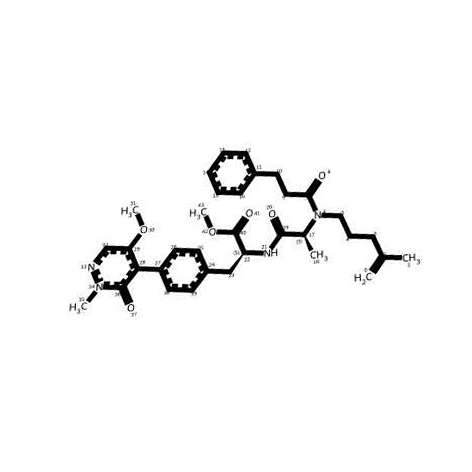 C=C(C)CCCN(C(=O)CCc1ccccc1)[C@@H](C)C(=O)N[C@@H](Cc1ccc(-c2c(OC)cnn(C)c2=O)cc1)C(=O)OC